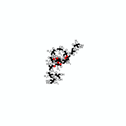 CC(C)(COC(=O)C(C)(CO)COC(=O)C(C)(COC(=O)C(C)(CO)CO)COC(=O)C(C)(CO)COC(=O)C(C)(COC(=O)C(C)(CO)CO)COC(=O)C(C)(CO)CO)COC(=O)C(C)(COC(=O)C(C)(CO)COC(=O)C(C)(CO)COC(=O)C(C)(CO)CO)COC(=O)C(C)(COC(=O)C(C)(CO)CO)COC(=O)C(C)(CO)CO